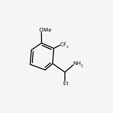 CCC(N)c1cccc(OC)c1C(F)(F)F